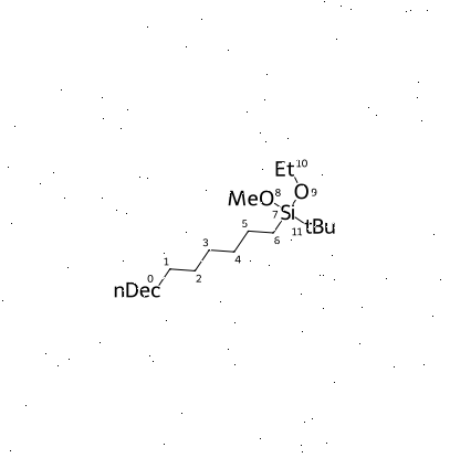 CCCCCCCCCCCCCCCC[Si](OC)(OCC)C(C)(C)C